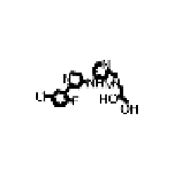 OC[C@H](O)Cn1cc2nccc(Nc3ccnc(-c4cc(Cl)ccc4F)c3)c2n1